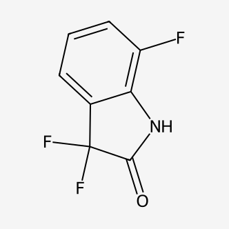 O=C1Nc2c(F)cccc2C1(F)F